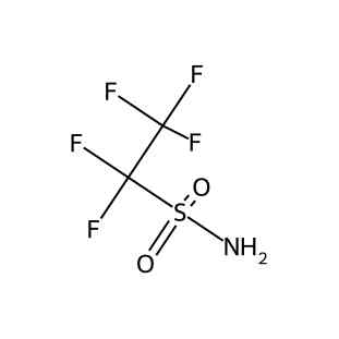 NS(=O)(=O)C(F)(F)C(F)(F)F